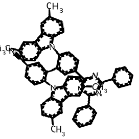 Cc1ccc2c(c1)c1cc(C)ccc1n2-c1ccc(C#N)cc1-c1cc(-c2nc(-c3ccccc3)nc(-c3ccccc3)n2)ccc1-n1c2ccc(C)cc2c2cc(C)ccc21